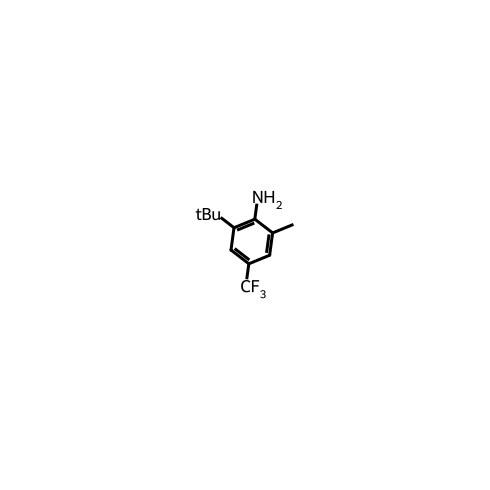 Cc1cc(C(F)(F)F)cc(C(C)(C)C)c1N